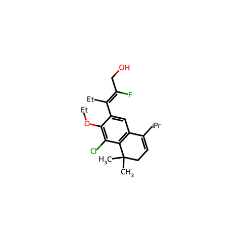 CCOc1c(C(CC)=C(F)CO)cc2c(c1Cl)C(C)(C)CC=C2C(C)C